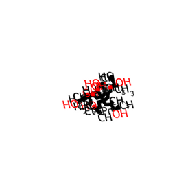 C#CC(C)(O)CCCCC(CCC(O)(C#C)CC)(CC(C)C(O)(C#C)C(C)C)C(CCC(C)(O)C=C)(CC(C)C(C)(O)C#C)C(O)(C#CC#CC(C)(C)O)CCC